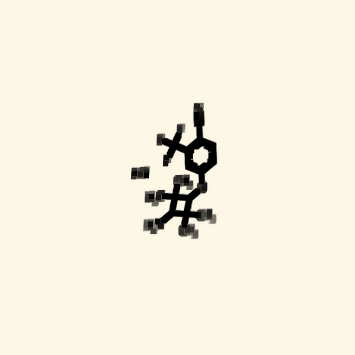 CC1(C)C(N)C(C)(C)C1Oc1ccc(C#N)c(C(F)(F)F)c1.Cl